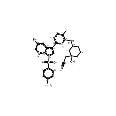 Cc1ccc(S(=O)(=O)n2cc(-c3ncc(F)c(N[C@H]4CCC[C@](O)(CC#N)C4)n3)c3cc(F)cnc32)cc1